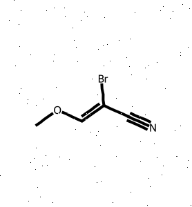 COC=C(Br)C#N